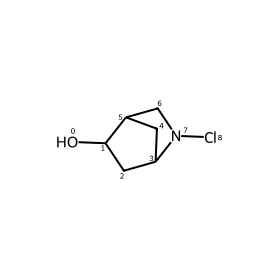 OC1CC2CC1CN2Cl